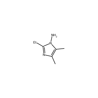 CCc1nc(C)c(C)n1N